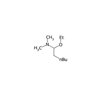 CCCCCC(OCC)N(C)C